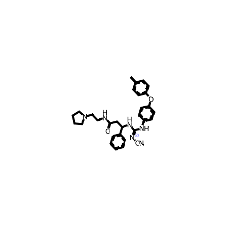 Cc1ccc(Oc2ccc(N/C(=N\C#N)NC(CC(=O)NCCN3CCCC3)c3ccccc3)cc2)cc1